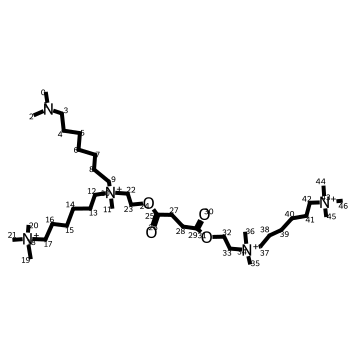 CN(C)CCCCCCC[N+](C)(CCCCCC[N+](C)(C)C)CCOC(=O)CCC(=O)OCC[N+](C)(C)CCCCCC[N+](C)(C)C